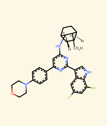 O=C(O)[C@@H]1C2CCC(CC2)[C@H]1Nc1cc(-c2ccc(N3CCOCC3)cc2)nc(-c2c[nH]c3c(F)cc(F)cc23)n1